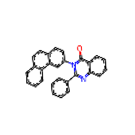 O=c1c2ccccc2nc(-c2ccccc2)n1-c1ccc2ccc3ccccc3c2c1